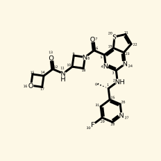 C[C@H](Nc1nc(C(=O)N2CC(NC(=O)C3COC3)C2)c2sccc2n1)c1cncc(F)c1